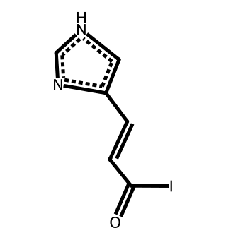 O=C(I)/C=C/c1c[nH]cn1